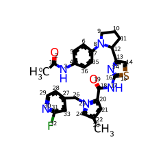 CC(=O)Nc1ccc(N2CCCC2c2csc(NC(=O)c3cc(C)cn3Cc3ccnc(F)c3)n2)cc1